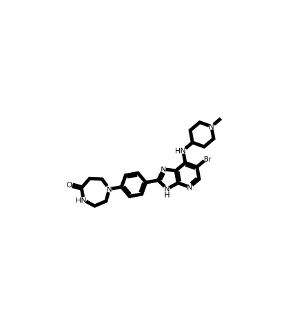 CN1CCC(Nc2c(Br)cnc3[nH]c(-c4ccc(N5CCNC(=O)CC5)cc4)nc23)CC1